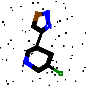 Clc1cncc(-c2csnn2)c1